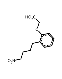 O=C(O)COc1ccccc1CCCC[N+](=O)[O-]